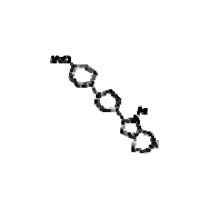 COc1ccc(-c2ccc(-c3cc4ccncc4n3C(C)=O)cc2)cc1